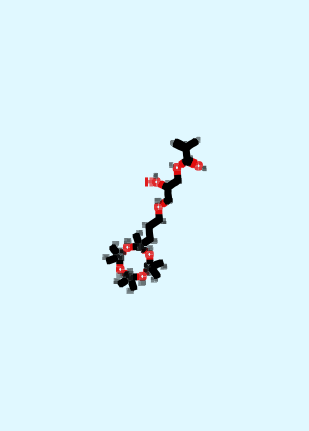 C=C(C)C(=O)OCC(O)COCCC[Si]1(C)O[Si](C)(C)O[Si](C)(C)O[Si](C)(C)O1